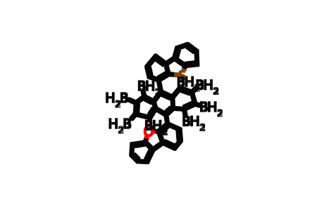 Bc1c(B)c(B)c2c(-c3cccc4c3sc3ccccc34)c3c(B)c(B)c(B)c(B)c3c(-c3cccc4c3oc3ccccc34)c2c1B